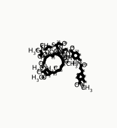 COc1cc2cc(c1Cl)N(C)C(=O)C[C@H](OC(=O)[C@H](C)N(C)C(=O)CCSC1CC(=O)N(CCNC(=O)C3CCC(CNC(=O)CCc4ccc5c(c4)CN(C)C5=O)CC3)C1=O)C1CC(C)(O1)C1CC(O)(NC(=O)O1)C(OC)/C=C/C=C(\C)C2